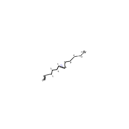 C=CCCC/C=C/CCCCBr